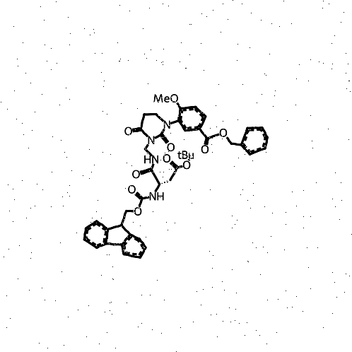 COc1ccc(C(=O)OCc2ccccc2)cc1N1CCC(=O)N(CNC(=O)[C@H](CC(=O)OC(C)(C)C)NC(=O)OCC2c3ccccc3-c3ccccc32)C1=O